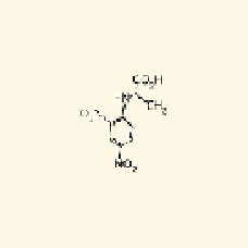 C[C@H](Nc1ccc([N+](=O)[O-])cc1[N+](=O)[O-])C(=O)O